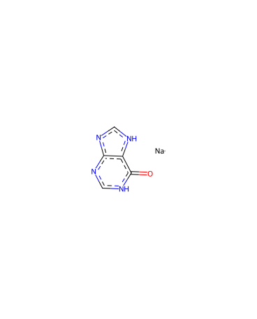 O=c1[nH]cnc2nc[nH]c12.[Na]